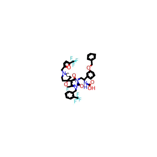 O=C(O)NC(Cn1c(=O)c2c(n(Cc3c(F)cccc3C(F)(F)F)c1=O)COC21CCN(Cc2ccc(C(F)(F)F)o2)CC1)c1cccc(OCc2ccccc2)c1